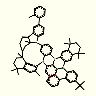 Cc1cc2c3c(c1)N(c1ccc(C(C)(C)C)cc1-c1ccccc1)c1cc4c(cc1B3c1ccc3cc1N2c1cc2c(cc1C)C(C)(C)CCC2(C)C1CCC2(C)c5cc(-c6ccccc6C)ccc5N3C2(C)C1)C(C)(C)CCC4(C)C